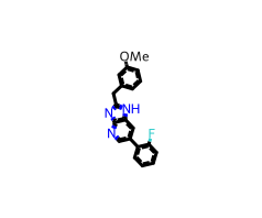 COc1cccc(Cc2nc3ncc(-c4ccccc4F)cc3[nH]2)c1